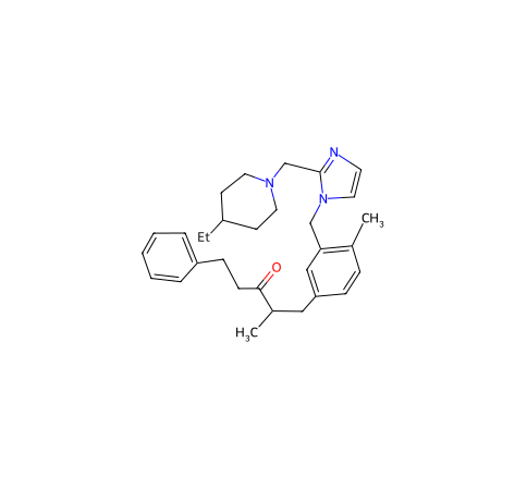 CCC1CCN(Cc2nccn2Cc2cc(CC(C)C(=O)CCc3ccccc3)ccc2C)CC1